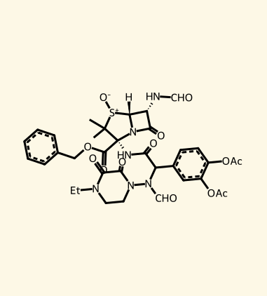 CCN1CCN(N(C=O)C(C(=O)N[C@@]2(C(=O)OCc3ccccc3)N3C(=O)[C@@H](NC=O)[C@H]3[S+]([O-])C2(C)C)c2ccc(OC(C)=O)c(OC(C)=O)c2)C(=O)C1=O